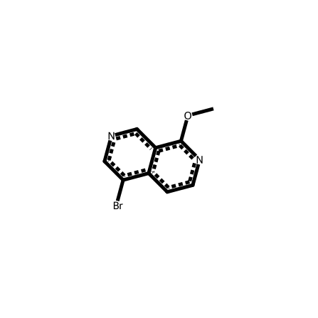 COc1nccc2c(Br)cncc12